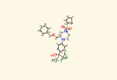 CC(O)(c1ccc(N2CCN(S(=O)(=O)c3cccs3)C[C@@H]2COCc2ccccc2)cc1)C(F)(F)F